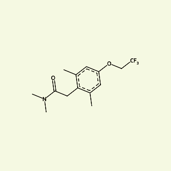 Cc1cc(OCC(F)(F)F)cc(C)c1CC(=O)N(C)C